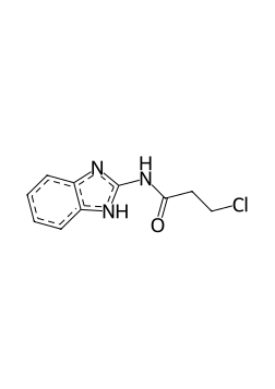 O=C(CCCl)Nc1nc2ccccc2[nH]1